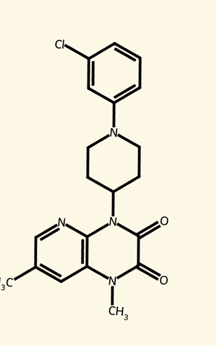 Cc1cnc2c(c1)n(C)c(=O)c(=O)n2C1CCN(c2cccc(Cl)c2)CC1